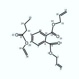 C=CCOC(=O)c1ccccc1C(=O)OCC=C.C=COC(=O)CCC